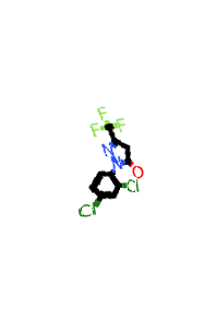 O=C1CC(C(F)(F)F)=NN1c1ccc(Cl)cc1Cl